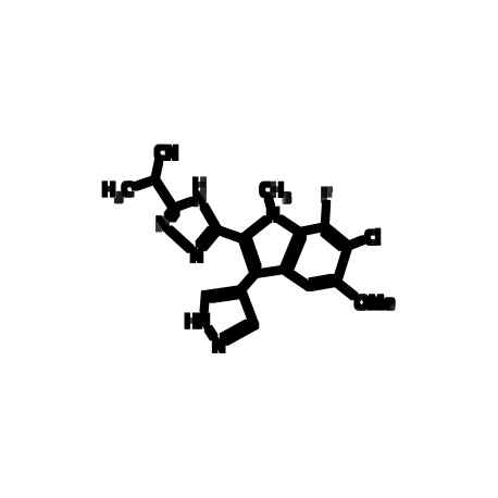 COc1cc2c(-c3cn[nH]c3)c(-c3nnc(C(C)C#N)[nH]3)n(C)c2c(F)c1Cl